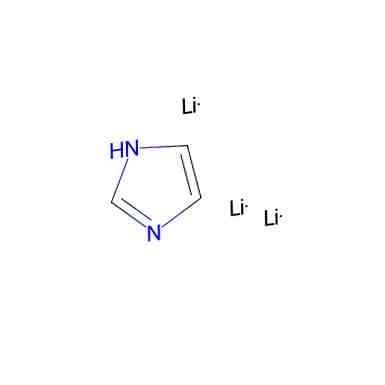 [Li].[Li].[Li].c1c[nH]cn1